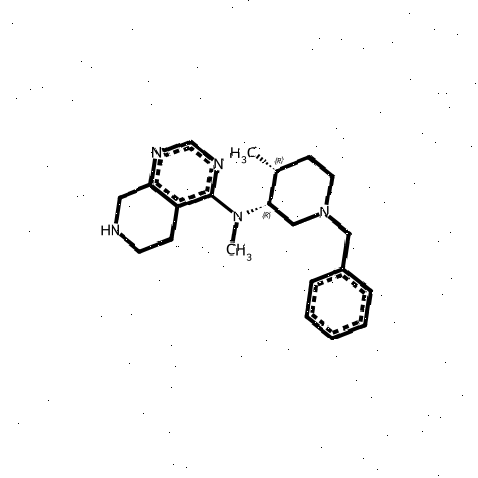 C[C@@H]1CCN(Cc2ccccc2)C[C@@H]1N(C)c1ncnc2c1CCNC2